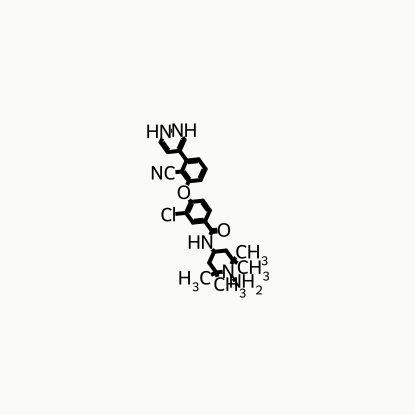 CC1(C)CC(NC(=O)c2ccc(Oc3cccc(C4=CNNC=C4)c3C#N)c(Cl)c2)CC(C)(C)N1N